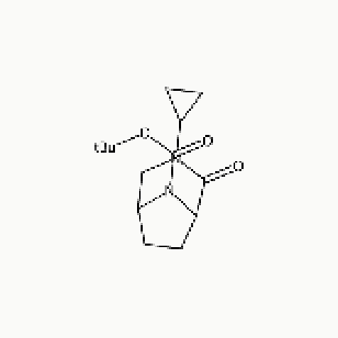 CC(C)(C)OC(=O)N1C2CCC1C(=O)N(C1CC1)C2